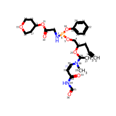 C#CCC(COP(NCC(=O)OC1CCOCC1)Oc1ccccc1)OC(C)N(C)/C=C\C(=O)NC=O